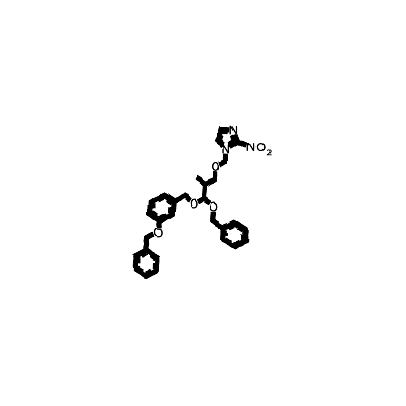 CC(COCn1ccnc1[N+](=O)[O-])C(OCc1ccccc1)OCc1cccc(OCc2ccccc2)c1